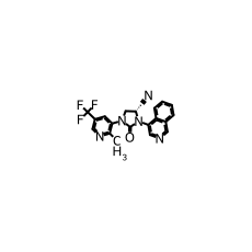 Cc1ncc(C(F)(F)F)cc1N1C[C@H](C#N)N(c2cncc3ccccc23)C1=O